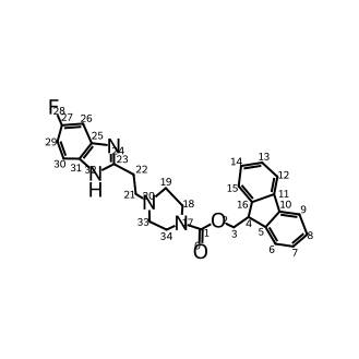 O=C(OCC1c2ccccc2-c2ccccc21)N1CCN(CCc2nc3cc(F)ccc3[nH]2)CC1